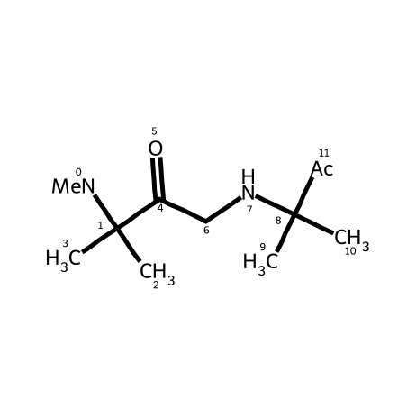 CNC(C)(C)C(=O)CNC(C)(C)C(C)=O